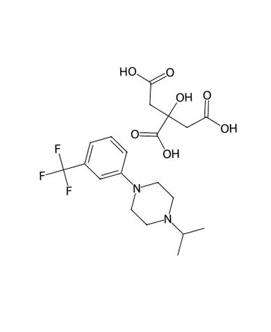 CC(C)N1CCN(c2cccc(C(F)(F)F)c2)CC1.O=C(O)CC(O)(CC(=O)O)C(=O)O